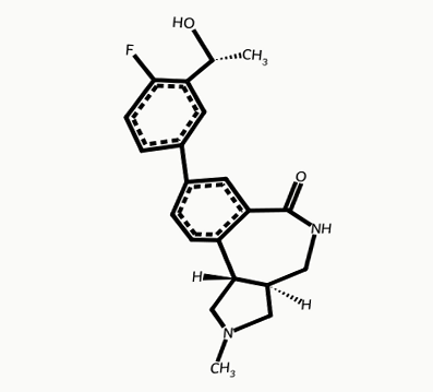 C[C@@H](O)c1cc(-c2ccc3c(c2)C(=O)NC[C@H]2CN(C)C[C@H]32)ccc1F